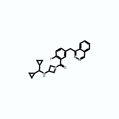 O=C(c1cc(Cc2nncc3ccccc23)ccc1F)N1CC(NC(C2CC2)C2CC2)C1